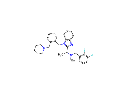 CCCCN(Cc1cccc(F)c1F)C(C)c1nc2ccccc2n1Cc1ccccc1CN1CCCCC1